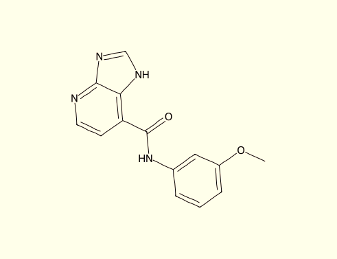 COc1cccc(NC(=O)c2ccnc3nc[nH]c23)c1